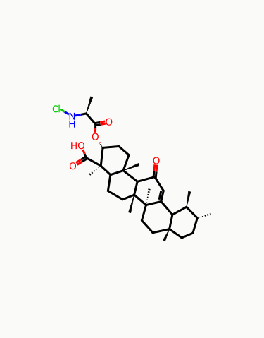 C[C@H](NCl)C(=O)O[C@@H]1CC[C@@]2(C)C(CC[C@]3(C)C2C(=O)C=C2C4[C@@H](C)[C@H](C)CC[C@]4(C)CC[C@]23C)[C@@]1(C)C(=O)O